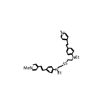 C/C=C(\C=C/NC)/C=C/c1ccc(N(CC)CCSSCCN(CC)c2ccc(/C=C/c3cc[n+](C)cc3)cc2)cc1